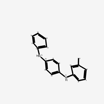 Cc1cccc(Nc2ccc(Nc3ccccc3)cc2)c1